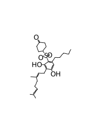 CCCCCc1cc(O)c(CC=C(C)CCC=C(C)C)c(O)c1S(=O)(=O)C1CCC(=O)CC1